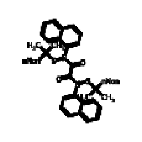 CCCCCCCCCC(C)(C)SN(C(=O)C(=O)N(SC(C)(C)CCCCCCCCC)c1cccc2ccccc12)c1cccc2ccccc12